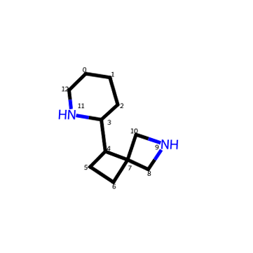 C1CCC(C2CCC23CNC3)NC1